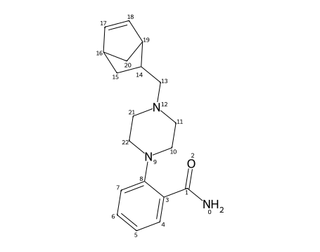 NC(=O)c1ccccc1N1CCN(CC2CC3C=CC2C3)CC1